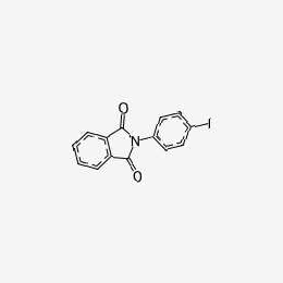 O=C1c2ccccc2C(=O)N1c1ccc(I)cc1